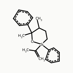 C=C(C)[Si]1(c2ccccc2)CCC(C)C(C)(c2ccccc2)O1